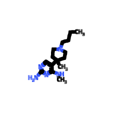 CCCCN1CCC(C)(c2cnc(N)nc2NC)CC1